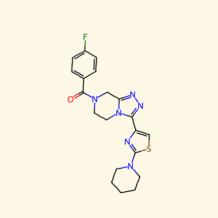 O=C(c1ccc(F)cc1)N1CCn2c(nnc2-c2csc(N3CCCCC3)n2)C1